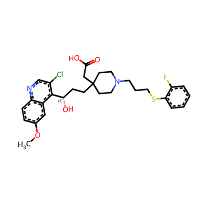 COc1ccc2ncc(Cl)c([C@@H](O)CCC3(CC(=O)O)CCN(CCCSc4ccccc4F)CC3)c2c1